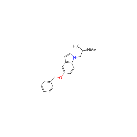 CN[C@H](C)Cn1ccc2cc(OCc3ccccc3)ccc21